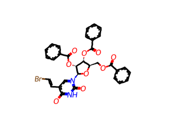 O=C(OC[C@H]1O[C@@H](n2cc(/C=C/Br)c(=O)[nH]c2=O)[C@H](OC(=O)c2ccccc2)[C@@H]1OC(=O)c1ccccc1)c1ccccc1